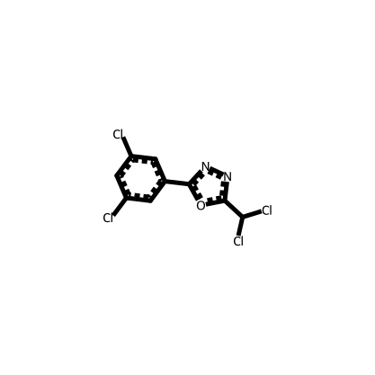 Clc1cc(Cl)cc(-c2nnc(C(Cl)Cl)o2)c1